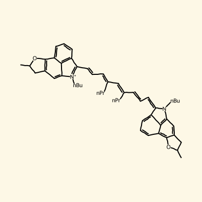 CCCCn1/c(=C/C=C/C(=C/C(=C/C=C/C2=[N+](CCCC)c3cc4c(c5cccc2c35)OC(C)C4)CCC)CCC)c2cccc3c4c(cc1c32)CC(C)O4